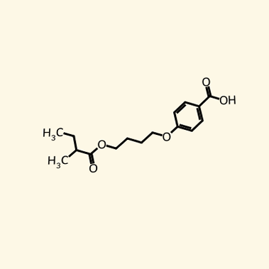 CCC(C)C(=O)OCCCCOc1ccc(C(=O)O)cc1